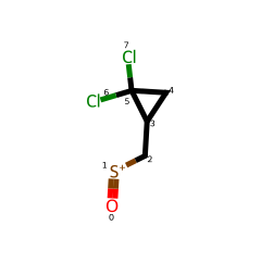 O=[S+]CC1CC1(Cl)Cl